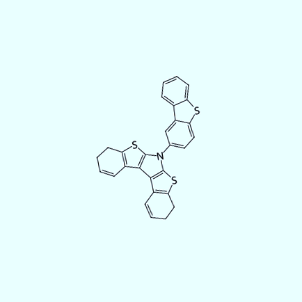 C1=Cc2c(sc3c2c2c4c(sc2n3-c2ccc3sc5ccccc5c3c2)CCC=C4)CC1